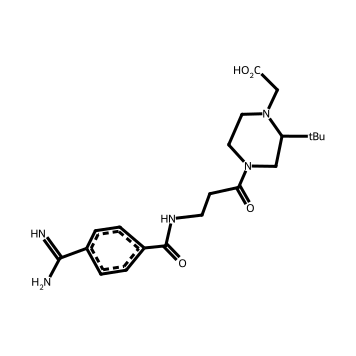 CC(C)(C)C1CN(C(=O)CCNC(=O)c2ccc(C(=N)N)cc2)CCN1CC(=O)O